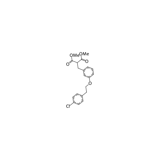 COC(=O)C(Cc1cccc(OCCc2ccc(Cl)cc2)c1)C(=O)OC